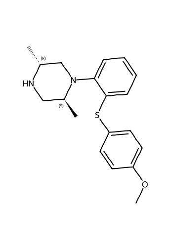 COc1ccc(Sc2ccccc2N2C[C@@H](C)NC[C@@H]2C)cc1